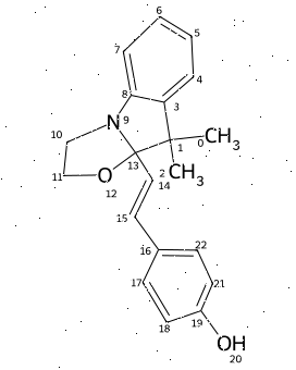 CC1(C)c2ccccc2N2CCOC21C=Cc1ccc(O)cc1